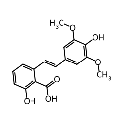 COc1cc(/C=C/c2cccc(O)c2C(=O)O)cc(OC)c1O